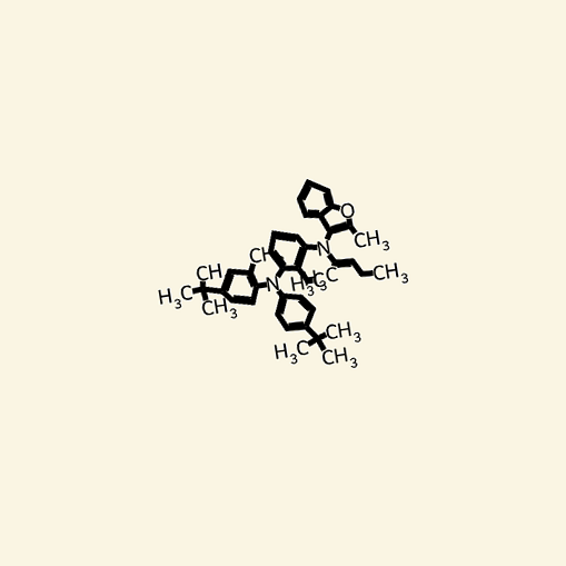 CC/C=C(\C)N(c1cccc(N(c2ccc(C(C)(C)C)cc2)c2ccc(C(C)(C)C)cc2C)c1CC)c1c(C)oc2ccccc12